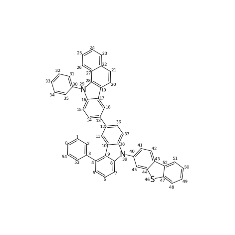 c1ccc(-c2cccc3c2c2cc(-c4ccc5c(c4)c4ccc6ccccc6c4n5-c4ccccc4)ccc2n3-c2ccc3c(c2)sc2ccccc23)cc1